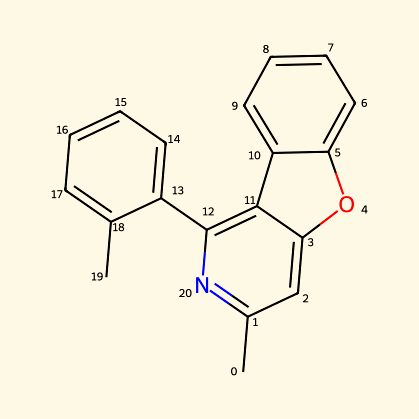 Cc1cc2oc3ccccc3c2c(-c2ccccc2C)n1